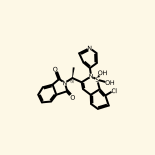 C[C@@H](C1=Cc2cccc(Cl)c2S(O)(O)N1c1ccncc1)N1C(=O)c2ccccc2C1=O